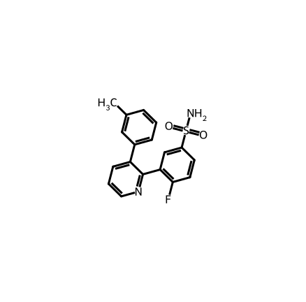 Cc1cccc(-c2cccnc2-c2cc(S(N)(=O)=O)ccc2F)c1